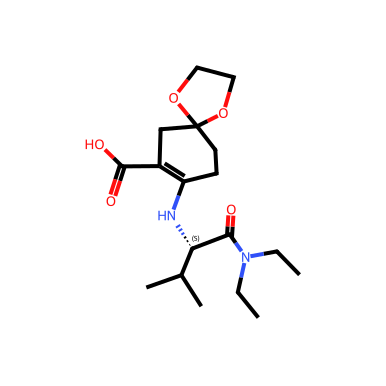 CCN(CC)C(=O)[C@@H](NC1=C(C(=O)O)CC2(CC1)OCCO2)C(C)C